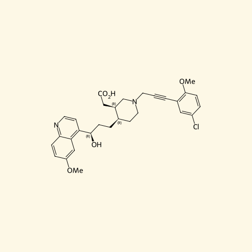 COc1ccc2nccc([C@H](O)CC[C@@H]3CCN(CC#Cc4cc(Cl)ccc4OC)C[C@@H]3CC(=O)O)c2c1